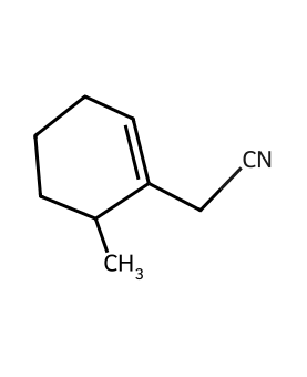 CC1CCCC=C1CC#N